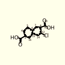 O=C(O)c1ccc2cc(C(=O)O)c(Cl)cc2c1